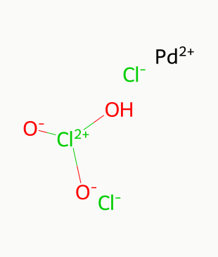 [Cl-].[Cl-].[O-][Cl+2]([O-])O.[Pd+2]